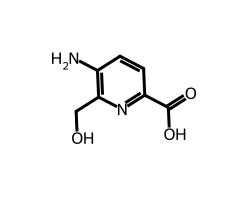 Nc1ccc(C(=O)O)nc1CO